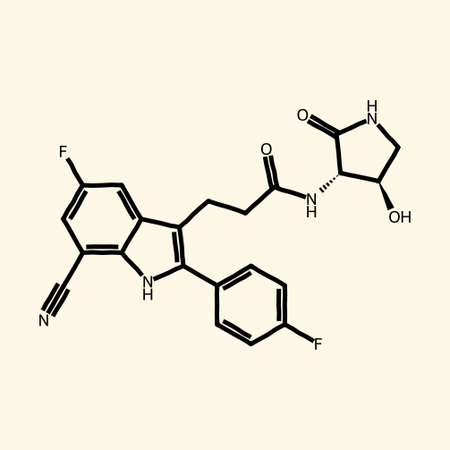 N#Cc1cc(F)cc2c(CCC(=O)N[C@@H]3C(=O)NC[C@H]3O)c(-c3ccc(F)cc3)[nH]c12